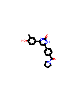 Cc1cc(-c2cc(-c3ccc(C(=O)N4CCCC4)cc3)[nH]c(=O)n2)ccc1O